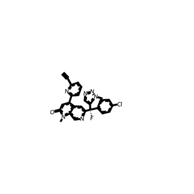 C#Cc1cccc(-c2cc(=O)n(C)c3cnc([C@](F)(c4ccc(Cl)cc4)c4cnnn4C)cc23)n1